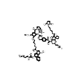 CNCCNC(=O)Oc1cc2c(c3ccccc13)[C@H](CCl)CN2C(=O)CCCCCOc1cc2c(cc1OC)C(=O)N1CCC[C@H]1C(O)N2C(=O)OCc1ccc(NC(=O)[C@H](CCCCN)NC(=O)C2(C(=O)NCCCCCN3C(=O)C=CC3=O)CCC2)cc1